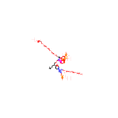 COCCOCCOCCOCCN(CCCS(=O)(=O)O)c1ccc(C(=C\CC(C)(C)C)/C=C/C=C2\N(CCCS(=O)(=O)O)c3ccc(S(=O)(=O)O)cc3C2(C)CCOCCOCCOCCOCCC(=O)O)c(O)c1